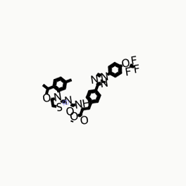 COC(=O)C(Cc1ccc(-c2ncn(-c3ccc(OC(F)(F)F)cc3)n2)cc1)NC(=O)/N=C1\SCC(=O)N1c1cc(C)ccc1C(C)C